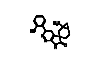 NC12CC1CCC1(C2)C(=O)Nc2nnc(-c3ccccc3O)cc21